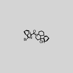 O=C(c1nc(Br)c2ccccn12)N1CCC(O)(c2ccccc2)C2CCCCC21